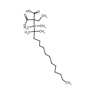 CCCCCCCCCCCCC(C)(C)[N+](C)(C)C(CC)(C(=O)[O-])C(=O)O